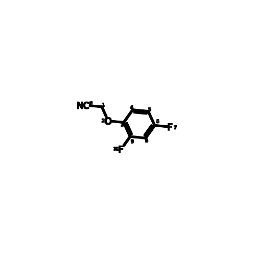 N#CCOc1c[c]c(F)cc1F